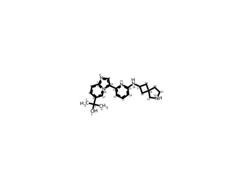 CC(C)(O)c1ccc2ncc(-c3cccc(NC4CC5(CCNC5)C4)n3)n2c1